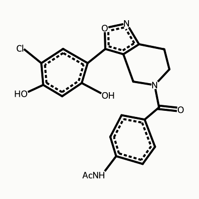 CC(=O)Nc1ccc(C(=O)N2CCc3noc(-c4cc(Cl)c(O)cc4O)c3C2)cc1